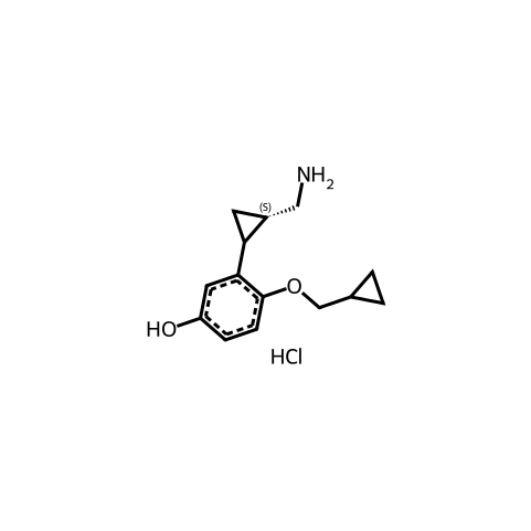 Cl.NC[C@H]1CC1c1cc(O)ccc1OCC1CC1